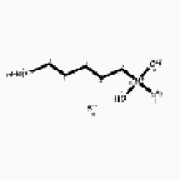 CCCCCCCCCCCC[N+](O)(O)CCC.[Br-]